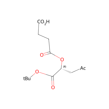 CC(=O)C[C@@H](OC(=O)CCC(=O)O)C(=O)OC(C)(C)C